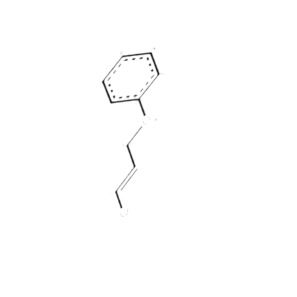 Cl/C=C/COc1c[c]ccc1